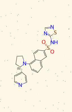 O=S(=O)(Nc1ncns1)c1ccc2c(N3CCC[C@H]3c3ccncc3)cccc2c1